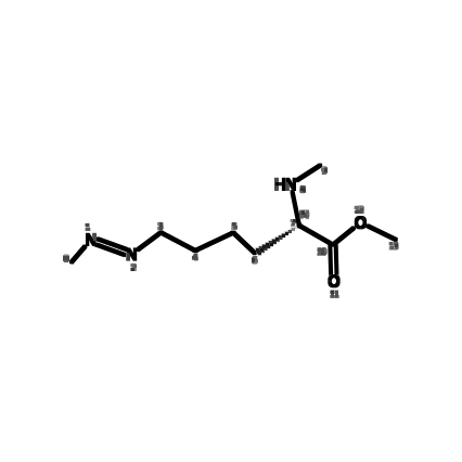 CN=NCCCC[C@H](NC)C(=O)OC